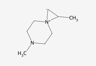 CC1[CH][N+]12CCN(C)CC2